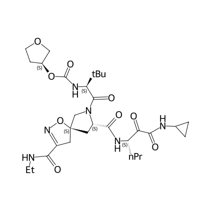 CCC[C@H](NC(=O)[C@@H]1C[C@]2(CC(C(=O)NCC)=NO2)CN1C(=O)[C@@H](NC(=O)O[C@H]1CCOC1)C(C)(C)C)C(=O)C(=O)NC1CC1